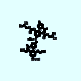 C=C(C)[C@@H]1CC(C)=C[C@H]1c1c(OC(=O)OCN(CC)CC)cc(CCCCC)cc1OC(=O)OCN(CC)CC.C=C(C)[C@@H]1CC(C)=C[C@H]1c1c(OCC#N)cc(CCCCC)cc1OCC#N